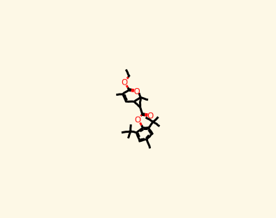 CCOC(=O)C(C)=CC1C(C(=O)Oc2c(C(C)(C)C)cc(C)cc2C(C)(C)C)C1(C)C